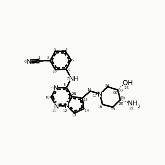 N#Cc1cccc(Nc2ncnn3ccc(CN4CC[C@@H](N)[C@@H](O)C4)c23)c1